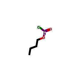 CCCCO[PH](=O)Cl